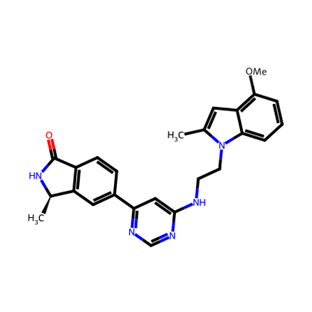 COc1cccc2c1cc(C)n2CCNc1cc(-c2ccc3c(c2)[C@@H](C)NC3=O)ncn1